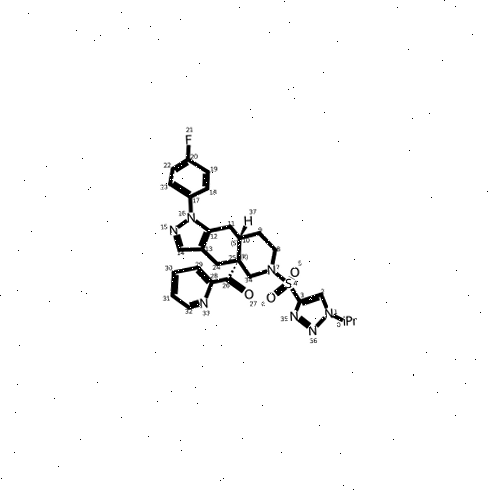 CC(C)n1cc(S(=O)(=O)N2CC[C@H]3Cc4c(cnn4-c4ccc(F)cc4)C[C@]3(C(=O)c3ccccn3)C2)nn1